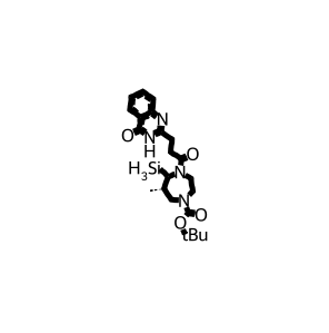 C[C@H]1CN(C(=O)OC(C)(C)C)CCN(C(=O)CCc2nc3ccccc3c(=O)[nH]2)C1[SiH3]